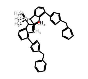 CC1=Cc2c(-c3ccc(Cc4ccccc4)cc3)cccc2[CH]1[Zr]([CH3])([CH3])(=[SiH2])[CH]1C(C)=Cc2c(-c3ccc(Cc4ccccc4)cc3)cccc21